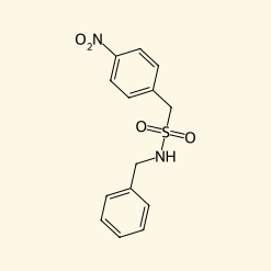 O=[N+]([O-])c1ccc(CS(=O)(=O)NCc2ccccc2)cc1